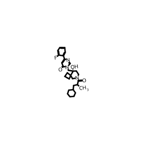 CC(CC1CCCCC1)C(=O)N1CC[C@](O)(Cn2cnc(-c3ccccc3F)cc2=O)C2(CCC2)C1